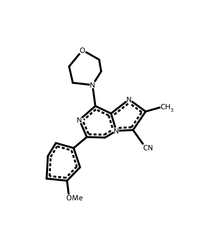 COc1cccc(-c2cn3c(C#N)c(C)nc3c(N3CCOCC3)n2)c1